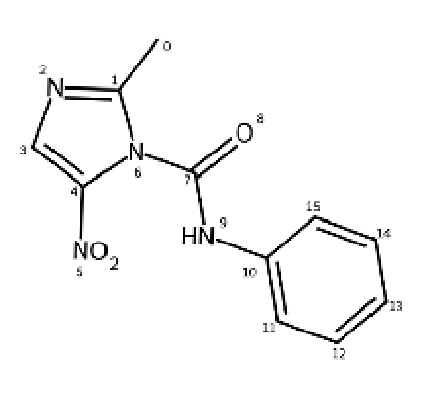 Cc1ncc([N+](=O)[O-])n1C(=O)Nc1ccccc1